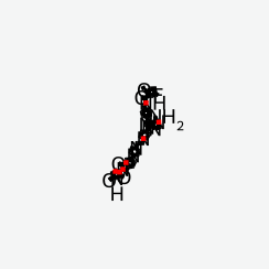 COc1ccc(F)cc1C(=O)NCc1ccc(-c2nn(C3CCN(CCN4CCN(c5ccc6c(c5)C(=O)N([C@H]5CCC(=O)NC5=O)C6)CC4)CC3)c3ncnc(N)c23)cc1